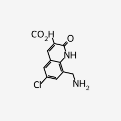 NCc1cc(Cl)cc2cc(C(=O)O)c(=O)[nH]c12